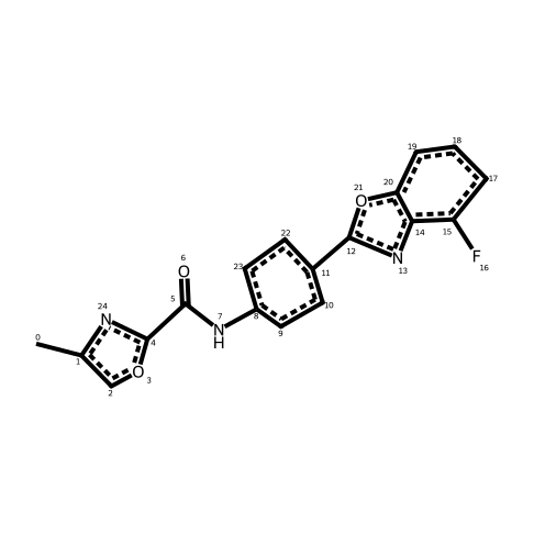 Cc1coc(C(=O)Nc2ccc(-c3nc4c(F)cccc4o3)cc2)n1